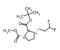 COC(=O)[C@H]1CC[C@@H](CCC(F)F)N1C(=O)OC(C)(C)C